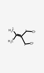 CC(C)=C(CCl)CCl